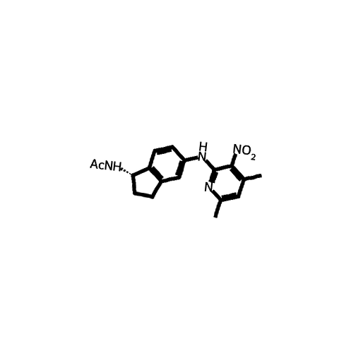 CC(=O)N[C@H]1CCc2cc(Nc3nc(C)cc(C)c3[N+](=O)[O-])ccc21